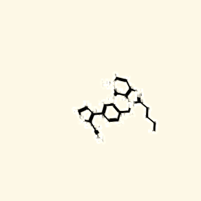 CCCCc1nc2cc[nH]c(=O)c2n1Cc1ccc(-c2ccsc2C#N)cc1